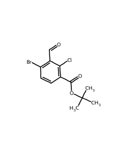 CC(C)(C)OC(=O)c1ccc(Br)c(C=O)c1Cl